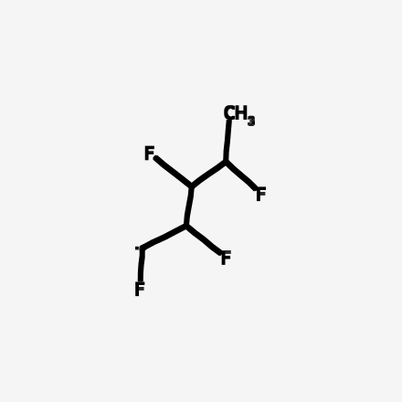 CC(F)C(F)C(F)[CH]F